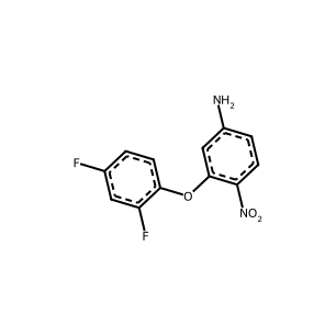 Nc1ccc([N+](=O)[O-])c(Oc2ccc(F)cc2F)c1